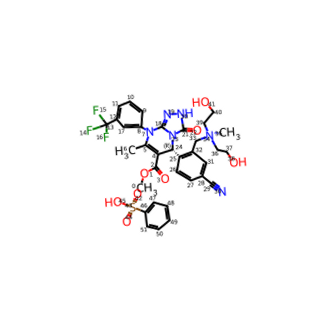 COC(=O)C1=C(C)N(c2cccc(C(F)(F)F)c2)c2n[nH]c(=O)n2[C@@H]1c1ccc(C#N)cc1C[N+](C)(CCO)CCO.O=S(=O)(O)c1ccccc1